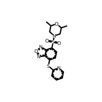 CC1CN(S(=O)(=O)c2ccc(Sc3ccccn3)c3nonc23)CC(C)O1